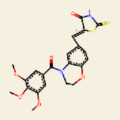 COc1cc(C(=O)N2CCOc3ccc(/C=C4\SC(=S)NC4=O)cc32)cc(OC)c1OC